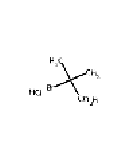 CC(C)(Br)C(=O)O.Cl